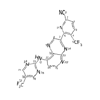 N#Cc1ccc(C(F)(F)F)c(-c2cnc3c(Nc4ncc(C(F)(F)F)cn4)ccnc3n2)n1